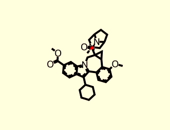 COC(=O)c1ccc2c(C3CCCCC3)c3n(c2c1)CC1(C(=O)N2C4CCC2CN(C)C4)CC1c1c(OC)cccc1-3